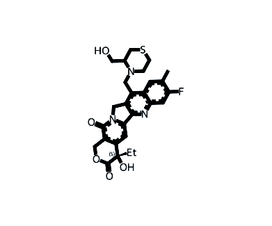 CC[C@@]1(O)C(=O)OCc2c1cc1n(c2=O)Cc2c-1nc1cc(F)c(C)cc1c2CN1CCSCC1CO